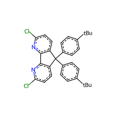 CC(C)(C)c1ccc(C2(c3ccc(C(C)(C)C)cc3)c3ccc(Cl)nc3-c3nc(Cl)ccc32)cc1